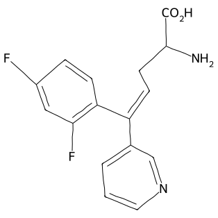 NC(CC=C(c1cccnc1)c1ccc(F)cc1F)C(=O)O